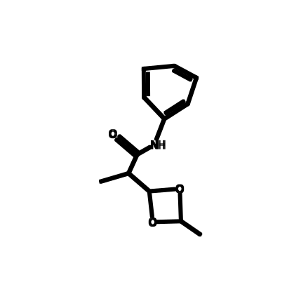 CC1OC(C(C)C(=O)Nc2ccccc2)O1